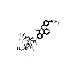 COc1ccc(Cn2c(=O)c3cc(OCC(C)(CC(C)C)NC(=O)OC(C)(C)C)ccc3c3ccncc32)cc1